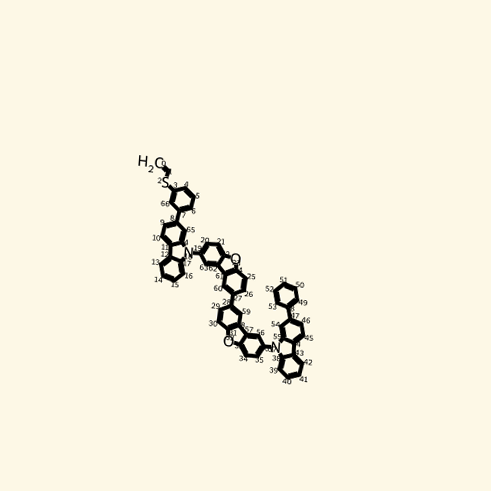 C=CSc1cccc(-c2ccc3c4ccccc4n(-c4ccc5oc6ccc(-c7ccc8oc9ccc(-n%10c%11ccccc%11c%11ccc(-c%12ccccc%12)cc%11%10)cc9c8c7)cc6c5c4)c3c2)c1